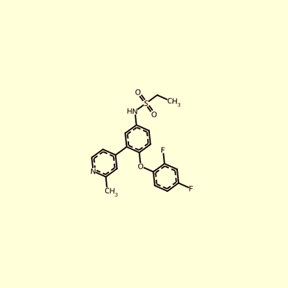 CCS(=O)(=O)Nc1ccc(Oc2ccc(F)cc2F)c(-c2ccnc(C)c2)c1